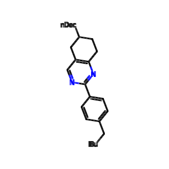 CCCCCCCCCCC1CCc2nc(-c3ccc(CC(C)CC)cc3)ncc2C1